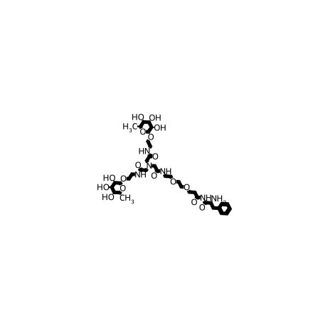 C[C@@H]1O[C@@H](OCCNC(=O)CN(CC(=O)NCCOCCOCCC(=O)NC(=O)[C@@H](N)Cc2ccccc2)CC(=O)NCCO[C@@H]2O[C@@H](C)[C@@H](O)[C@@H](O)[C@@H]2O)[C@@H](O)[C@H](O)[C@@H]1O